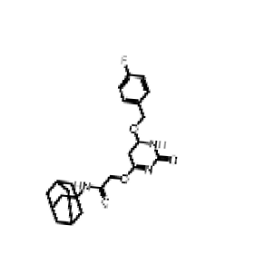 O=C(COC1=NC(=O)NC(OCc2ccc(F)cc2)C1)NC12CC3CC(CC(C3)C1)C2